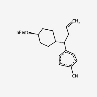 C=CCC(c1ccc(C#N)cc1)[C@H]1CC[C@H](CCCCC)CC1